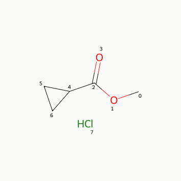 COC(=O)C1CC1.Cl